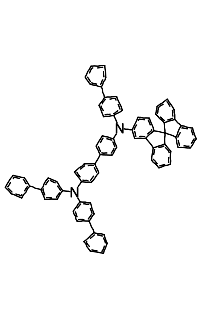 c1ccc(-c2ccc(N(c3ccc(-c4ccccc4)cc3)c3ccc(-c4ccc(N(c5ccc(-c6ccccc6)cc5)c5ccc6c(c5)-c5ccccc5C65c6ccccc6-c6ccccc65)cc4)cc3)cc2)cc1